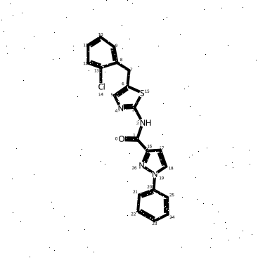 O=C(Nc1ncc(Cc2ccccc2Cl)s1)c1ccn(-c2ccccc2)n1